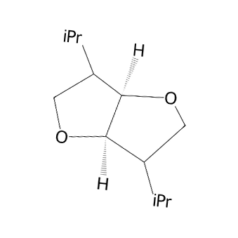 CC(C)C1CO[C@@H]2C(C(C)C)CO[C@H]12